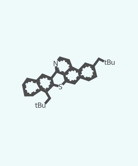 CC(C)(C)Cc1ccc2cc3c4c(nccc4c2c1)-c1cc2ccccc2c(CC(C)(C)C)c1S3